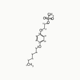 CCCCCCOc1ccc(OCCOS(C)(=O)=O)cc1